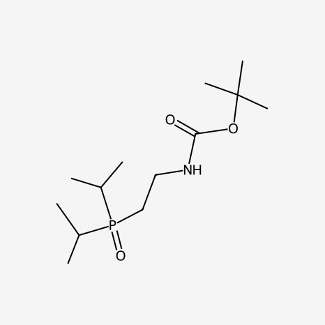 CC(C)P(=O)(CCNC(=O)OC(C)(C)C)C(C)C